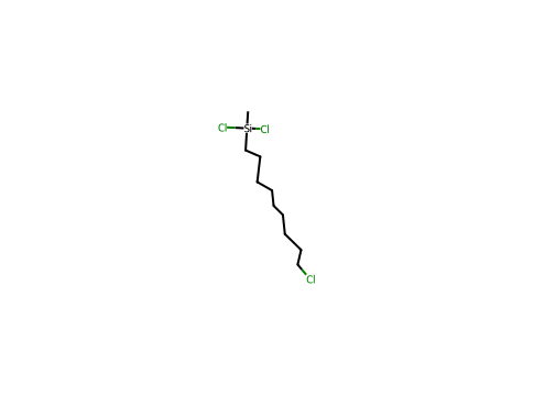 C[Si](Cl)(Cl)CCCCCCCCCCl